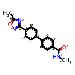 CNC(=O)c1ccc(-c2ccc(-c3noc(C)n3)cc2)cc1